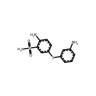 Nc1cccc(Sc2ccc(N)c(S(N)(=O)=O)c2)c1